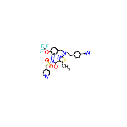 Cc1sc(N(CCc2ccc(C#N)cc2)Cc2ccc(OC(F)(F)F)cc2)nc1C(=O)NS(=O)(=O)Cc1ccncc1